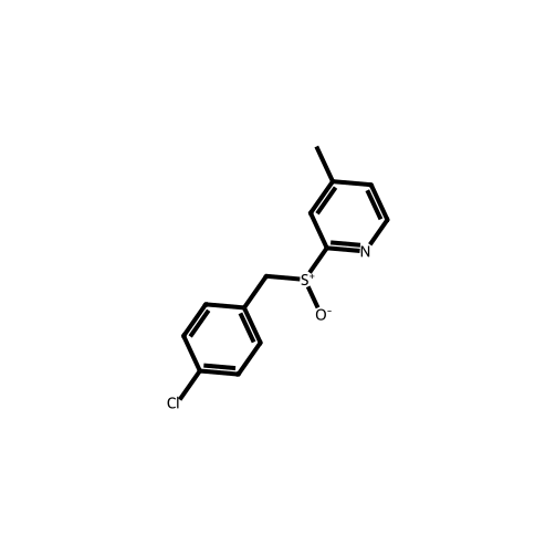 Cc1ccnc([S+]([O-])Cc2ccc(Cl)cc2)c1